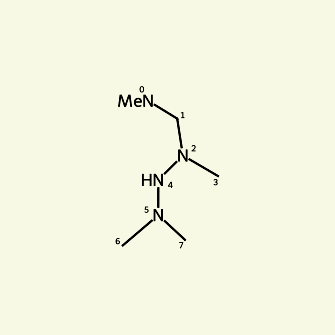 CNCN(C)NN(C)C